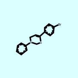 Brc1ccc(C2=CCN(c3ccccc3)CS2)cc1